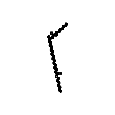 CCCCCCCOC(=O)CCCCCCCCCCCCCCCC(C)CC(=O)OCCCCCCC